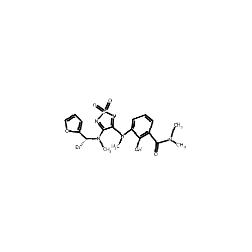 CC[C@H](c1ccco1)N(C)C1=NS(=O)(=O)N=C1N(C)c1cccc(C(=O)N(C)C)c1O